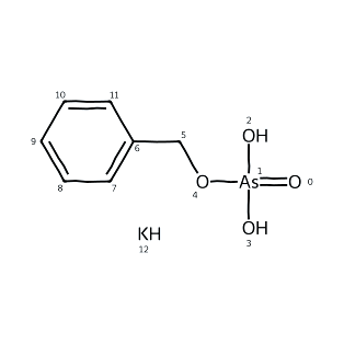 O=[As](O)(O)OCc1ccccc1.[KH]